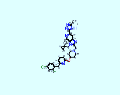 N#CC1(Cn2c(CN3CCC(Oc4cccc(Cc5ccc(Cl)cc5F)n4)CC3)nc3cc(-c4nnc(C(F)(F)F)[nH]4)ncc32)CC1